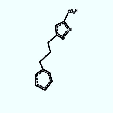 O=C(O)c1cc(CCCc2ccccc2)on1